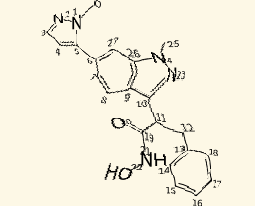 Cn1nccc1-c1ccc2c(C(Cc3ccccc3)C(=O)NO)nn(C)c2c1